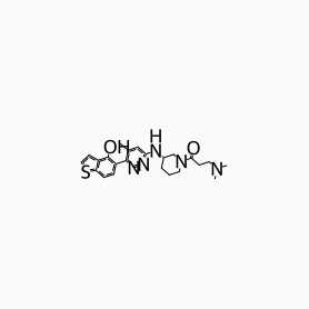 Cc1cc(N[C@H]2CCCN(C(=O)CCN(C)C)C2)nnc1-c1ccc2sccc2c1O